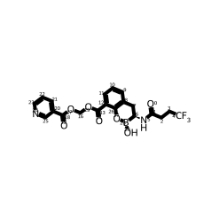 O=C(CCC(F)(F)F)N[C@H]1Cc2cccc(C(=O)OCOC(=O)c3cccnc3)c2OB1O